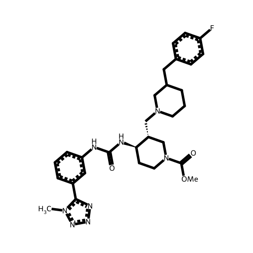 COC(=O)N1CC[C@@H](NC(=O)Nc2cccc(-c3nnnn3C)c2)[C@H](CN2CCCC(Cc3ccc(F)cc3)C2)C1